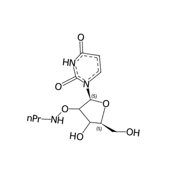 CCCNOC1C(O)[C@H](CO)O[C@@H]1n1ccc(=O)[nH]c1=O